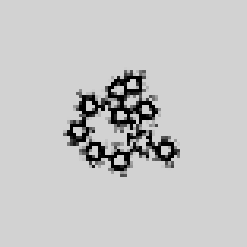 c1ccc(-c2cccc(-c3nc(-c4ccccc4)nc(-n4c5ccccc5c5c6c7c8ccccc8ccc7n(-c7cccc(-c8ccccc8)c7)c6ccc54)n3)c2)cc1